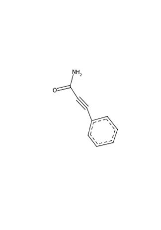 NC(=O)C#Cc1ccccc1